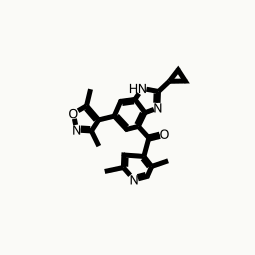 Cc1cc(C(=O)c2cc(-c3c(C)noc3C)cc3[nH]c(C4CC4)nc23)c(C)cn1